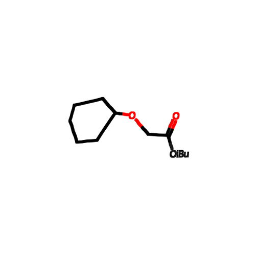 CC(C)COC(=O)COC1CCCCC1